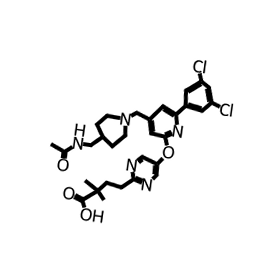 CC(=O)NCC1CCN(Cc2cc(Oc3cnc(CCC(C)(C)C(=O)O)nc3)nc(-c3cc(Cl)cc(Cl)c3)c2)CC1